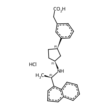 C[C@@H](N[C@H]1CC[C@@H](c2cccc(CC(=O)O)c2)C1)c1cccc2ccccc12.Cl